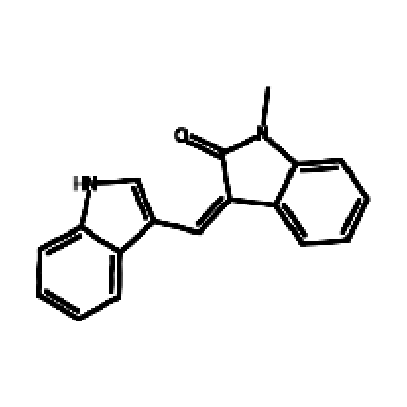 CN1C(=O)C(=Cc2c[nH]c3ccccc23)c2ccccc21